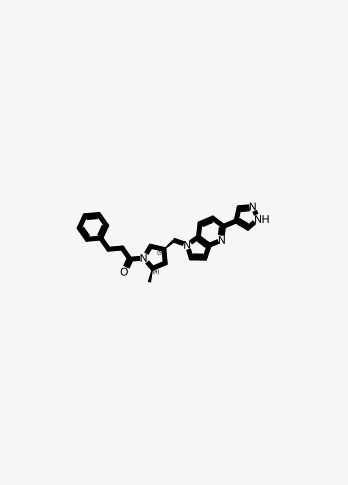 C[C@@H]1C[C@H](Cn2ccc3nc(-c4cn[nH]c4)ccc32)CN1C(=O)CCc1ccccc1